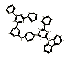 c1ccc(-c2nc(-c3ccccc3)nc(-c3cccc(Sc4ccc(-c5nc(-c6ccccc6)nc(-n6c7ccccc7c7ccccc76)n5)cc4)c3)n2)cc1